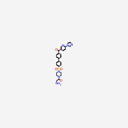 NCC(=O)N1CCN(S(=O)(=O)c2ccc(-c3ccc(C(=O)c4ccc(-n5ccnc5)nc4)cc3)cc2)CC1